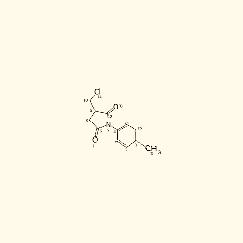 Cc1ccc(N2C(=O)CC(CCl)C2=O)cc1